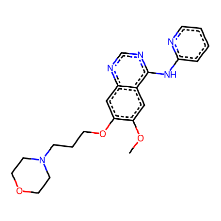 COc1cc2c(Nc3ccccn3)ncnc2cc1OCCCN1CCOCC1